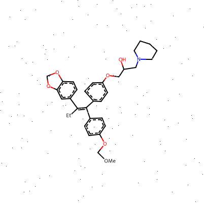 CC/C(=C(\c1ccc(OCOC)cc1)c1ccc(OCC(O)CN2CCCCC2)cc1)c1ccc2c(c1)OCO2